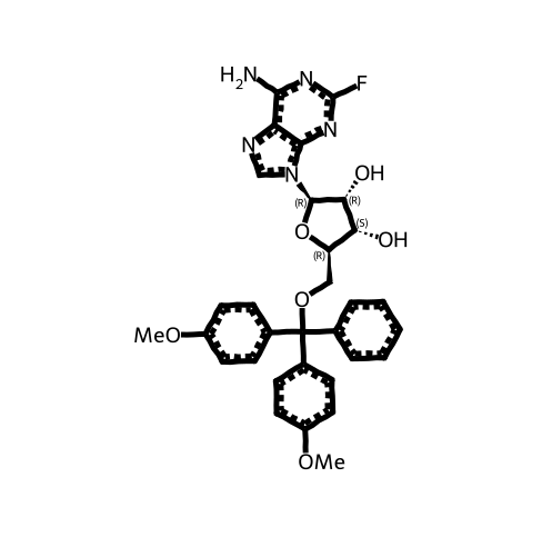 COc1ccc(C(OC[C@H]2O[C@@H](n3cnc4c(N)nc(F)nc43)[C@H](O)[C@@H]2O)(c2ccccc2)c2ccc(OC)cc2)cc1